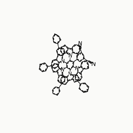 N#Cc1cc(C#N)cc(-c2c(-n3c4ccccc4c4ccccc43)c(-n3c4ccc(-c5ccccc5)cc4c4cc(-c5ccccc5)ccc43)c(-n3c4ccccc4c4ccccc43)c(-n3c4ccc(-c5ccccc5)cc4c4cc(-c5ccccc5)ccc43)c2-n2c3ccccc3c3ccccc32)c1